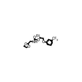 CCC(COc1cccc(C(F)(F)F)c1)OC(=O)NCC1OCCO1